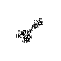 CCN(C)C(O)OCn1c(=O)ccc2ccc(OCCCCN3CCN(c4cccc(Cl)c4Cl)CC3)cc21